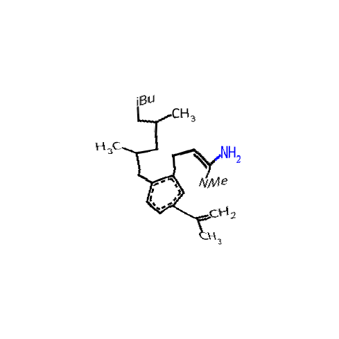 C=C(C)c1ccc(CC(C)CC(C)CC(C)CC)c(C/C=C(/N)NC)c1